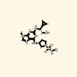 CCNS(=O)(=O)N1CC[C@H](Nc2nc(N[C@@H](CO)C3CC3)nc3c2ncn3C)C1